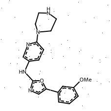 COc1cccc(-c2cnc(Nc3ccc(N4CCNCC4)nc3)o2)c1